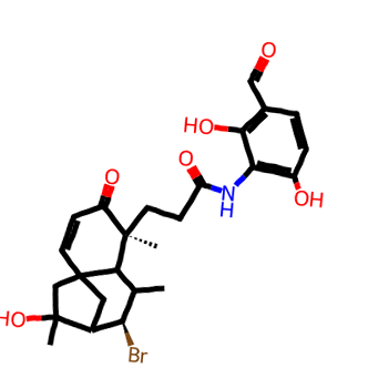 CC1C2C3(C=CC(=O)[C@@]2(C)CCC(=O)Nc2c(O)ccc(C=O)c2O)CC([C@@H]1Br)C(C)(O)C3